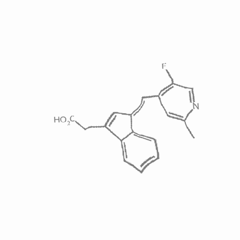 Cc1cc(/C=C2/C=C(CC(=O)O)c3ccccc32)c(F)cn1